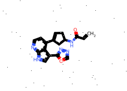 C=CC(=O)NC1CC=C(c2ccnc3[nH]cc(-c4nnco4)c23)C1